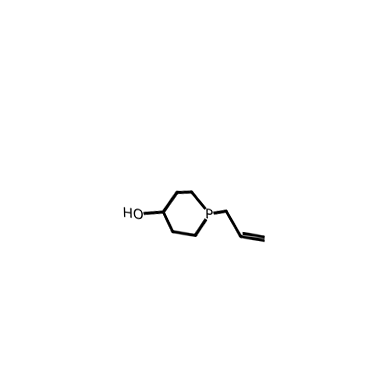 C=CCP1CCC(O)CC1